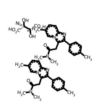 Cc1ccc(-c2nc3ccc(C)cn3c2CC(=O)N(C)C)cc1.Cc1ccc(-c2nc3ccc(C)cn3c2CC(=O)N(C)C)cc1.O=C(O)[C@H](O)[C@@H](O)C(=O)O.[Ni]